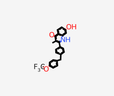 Cc1c(-c2ccc(Cc3ccc(OC(F)(F)F)cc3)cc2)[nH]c2cc(O)ccc2c1=O